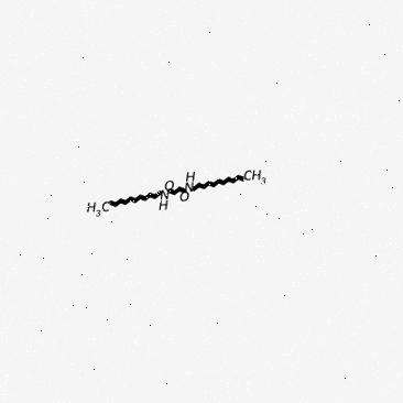 CCCCCCCCCCCCNC(=O)CCC(=O)NCCCCCCCCCCCC